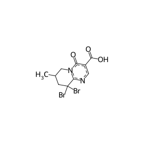 CC1Cn2c(ncc(C(=O)O)c2=O)C(Br)(Br)C1